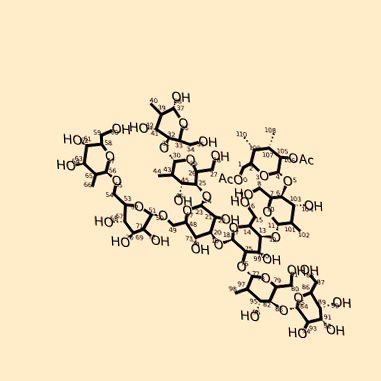 CC(=O)OCC1O[C@@H](O[C@@H]2C(CO)O[C@@H](O[C@@H]3C(CO)O[C@H](O[C@@H]4C(O)[C@H](O[C@@H]5C(CO)O[C@@H](O[C@@H]6C(CO)O[C@@H](O)C(C)[C@H]6O)C(C)[C@H]5O)OC(CO[C@H]5OC(CO[C@@H]6OC(CO)[C@@H](O)[C@H](O)C6C)[C@@H](O)[C@H](O)C5O)[C@H]4O)C(O[C@@H]4OC(CO)[C@@H](O[C@@H]5OC(CO)[C@H](O)[C@H](O)C5O)[C@H](O)C4C)[C@H]3O)C(C)[C@H]2O)C(OC(C)=O)[C@@H](C)[C@H]1C